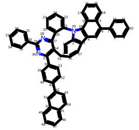 C=Cc1c2c3cc(-c4ccccc4)c4ccccc4c3n1-c1ccccc1-c1nc(-c3ccccc3)nc(-c3ccc(-c4ccc5ccccc5c4)cc3)c1C/C=C\2